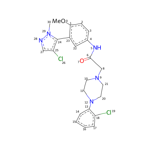 COc1ccc(NC(=O)CN2CCN(c3ccccc3Cl)CC2)cc1-c1c(Cl)cnn1C